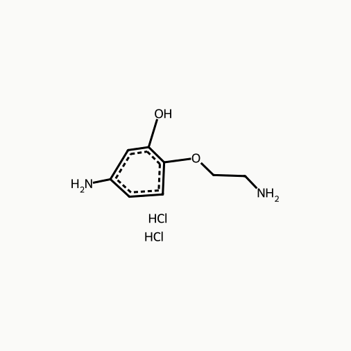 Cl.Cl.NCCOc1ccc(N)cc1O